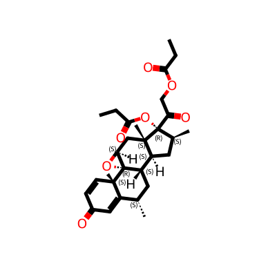 CCC(=O)OCC(=O)[C@@]1(OC(=O)CC)[C@@H](C)C[C@H]2[C@@H]3C[C@H](C)C4=CC(=O)C=C[C@]4(C)[C@]34O[C@H]4C[C@@]21C